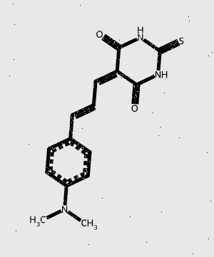 CN(C)c1ccc(C=CC=C2C(=O)NC(=S)NC2=O)cc1